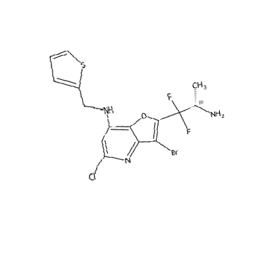 C[C@H](N)C(F)(F)c1oc2c(NCc3cccs3)cc(Cl)nc2c1Br